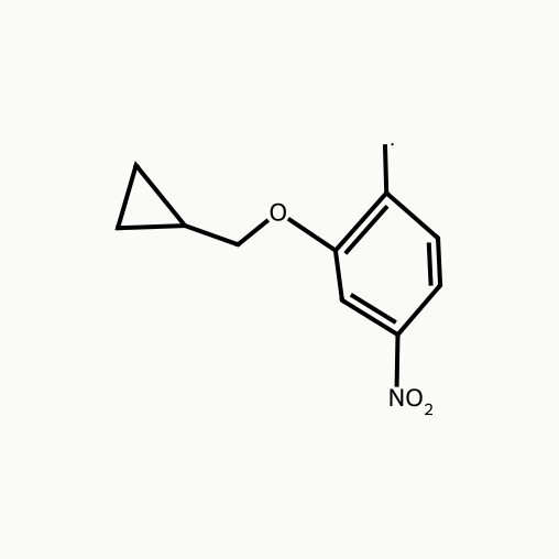 [CH2]c1ccc([N+](=O)[O-])cc1OCC1CC1